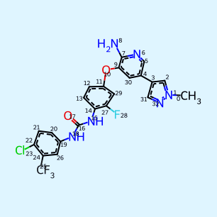 Cn1cc(-c2cnc(N)c(Oc3ccc(NC(=O)Nc4ccc(Cl)c(C(F)(F)F)c4)c(F)c3)c2)cn1